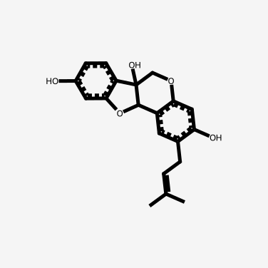 CC(C)=CCc1cc2c(cc1O)OCC1(O)c3ccc(O)cc3OC21